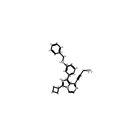 NCC#Cc1nccn2c(C3CCC3)nc(-c3cccc(OCc4ccccc4)c3)c12